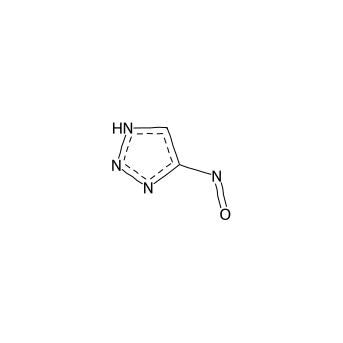 O=Nc1c[nH]nn1